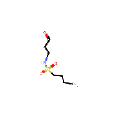 CCCCS(=O)(=O)N[CH][CH]C=O